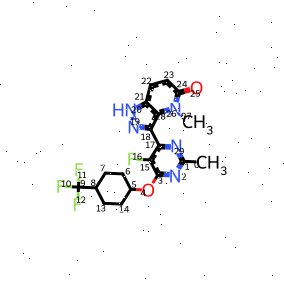 Cc1nc(OC2CCC(C(F)(F)F)CC2)c(F)c(-c2n[nH]c3ccc(=O)n(C)c23)n1